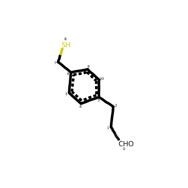 O=CCCc1ccc(CS)cc1